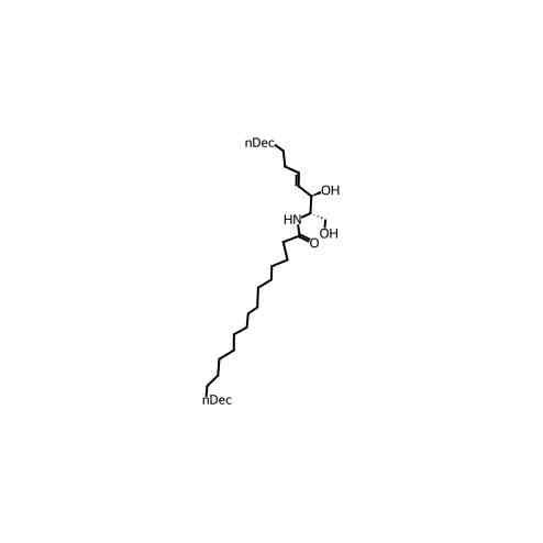 CCCCCCCCCCCC/C=C/[C@@H](O)[C@H](CO)NC(=O)CCCCCCCCCCCCCCCCCCCCCCC